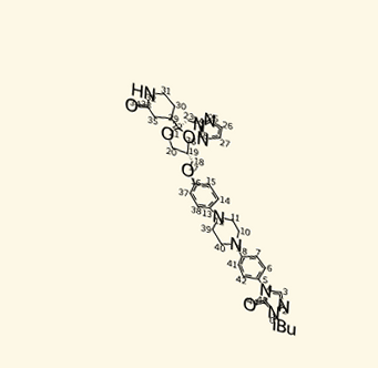 CCC(C)n1ncn(-c2ccc(N3CCN(c4ccc(OC[C@@H]5CO[C@@](Cn6nccn6)(C6CCNC(=O)C6)O5)cc4)CC3)cc2)c1=O